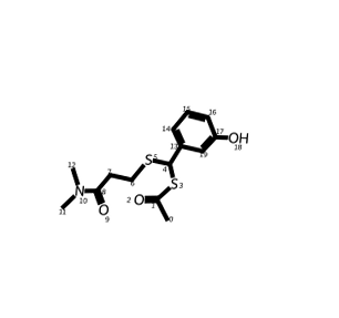 CC(=O)SC(SCCC(=O)N(C)C)c1cccc(O)c1